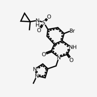 Cn1cc(Cn2c(=O)[nH]c3c(Br)cc(S(=O)(=O)NC4(C)CC4)cc3c2=O)cn1